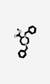 COC(=O)C1CCN(Cc2ccccc2)CCN1Cc1ccccc1